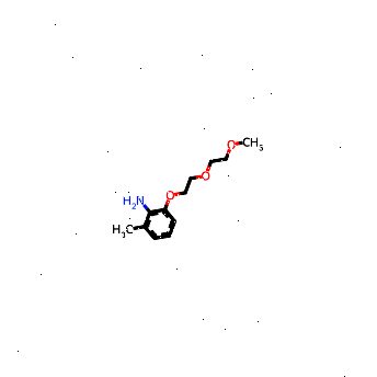 COCCOCCOc1cccc(C)c1N